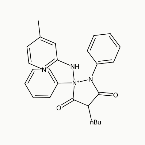 CCCCC1C(=O)N(c2ccccc2)[N+](Nc2cc(C)ccn2)(c2ccccc2)C1=O